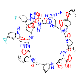 COc1ccc(C[C@@H]2NC(=O)C(Cc3cnc[nH]3)NC(=O)[C@H](CC(=O)O)NC(=O)[C@H](Cc3c[nH]c4ccc(F)cc34)NC(=O)[C@H](Cc3c[nH]c4ccc(F)cc34)NC(=O)[C@@H](C)NC(=O)Cc3cccc(c3)NC(=O)C[C@@H](C(=O)O)NC(=O)[C@]3(C)CCCN3C2=O)cc1